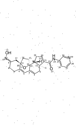 C[C@]12CC=C3C=C4CCC(=NO)C[C@]45CC[C@]3(O5)[C@@H]1CC=C2C(=O)Nc1cccnc1